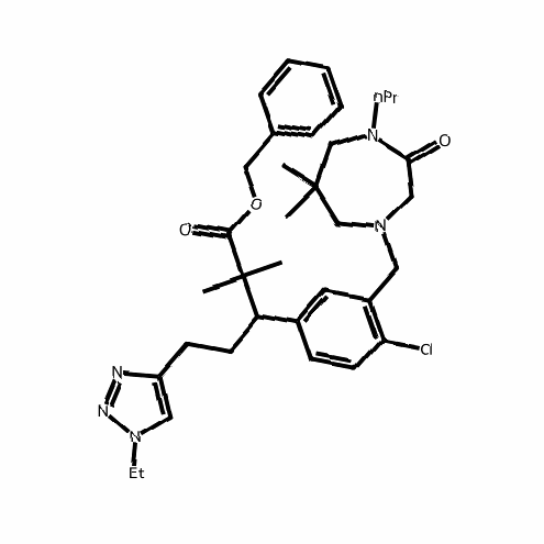 CCCN1CC(C)(C)CN(Cc2cc(C(CCc3cn(CC)nn3)C(C)(C)C(=O)OCc3ccccc3)ccc2Cl)CC1=O